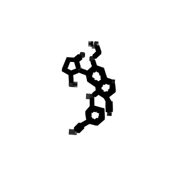 C#Cc1cccc(Nc2c(C#N)cnc3cc(OCC)c(N4C(=O)CCC4O)cc23)c1